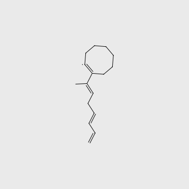 C=CC=CCC=C(C)/C1=[C]/CCCCCC1